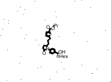 CCCCCC[C@H](O)c1ccc(N2C(=O)CCC2CCCc2ccc(C(=O)OC(C)C)s2)cc1